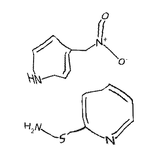 NSc1ccccn1.O=[N+]([O-])c1cc[nH]c1